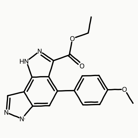 CCOC(=O)c1n[nH]c2c3c(cc(-c4ccc(OC)cc4)c12)[N]N=C3